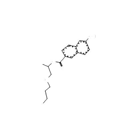 CCCCOCC(C)OC(=O)c1ccc2cc(O)ccc2c1